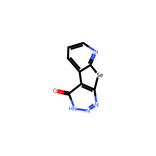 O=c1[nH]nnc2[se]c3ncccc3c12